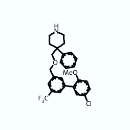 COc1ccc(Cl)cc1-c1cc(COCC2(c3ccccc3)CCNCC2)cc(C(F)(F)F)c1